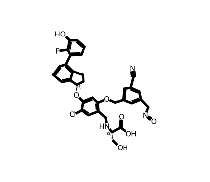 N#Cc1cc(CN=O)cc(COc2cc(O[C@H]3CCc4c(-c5cccc(O)c5F)cccc43)c(Cl)cc2CN[C@@H](CO)C(=O)O)c1